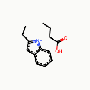 CCCC(=O)O.CCc1cc2ccccc2[nH]1